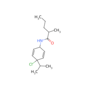 CCCC(C)C(=O)NC1C=CC(Cl)(C(C)C)C=C1